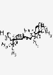 CCC1(C)C(C)(C)OC1(C)CCCCC1(C)OC(C)(C)C1(C)CC